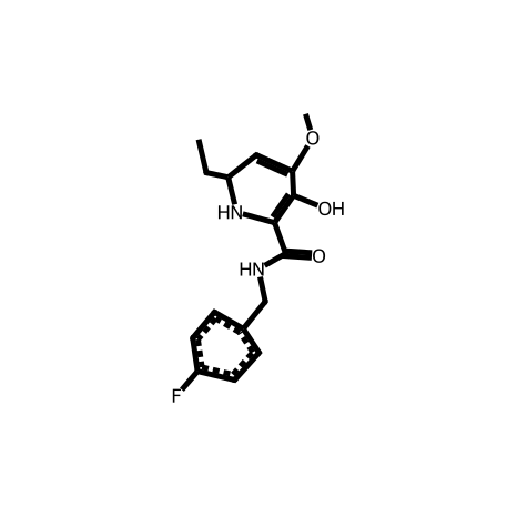 CCC1C=C(OC)C(O)=C(C(=O)NCc2ccc(F)cc2)N1